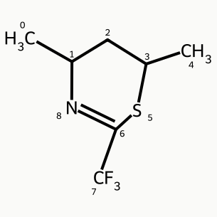 CC1CC(C)SC(C(F)(F)F)=N1